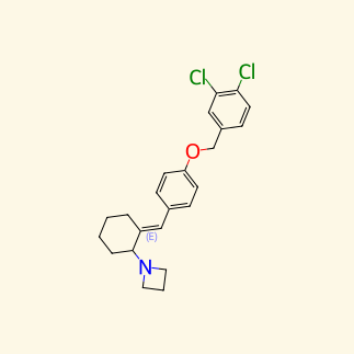 Clc1ccc(COc2ccc(/C=C3\CCCCC3N3CCC3)cc2)cc1Cl